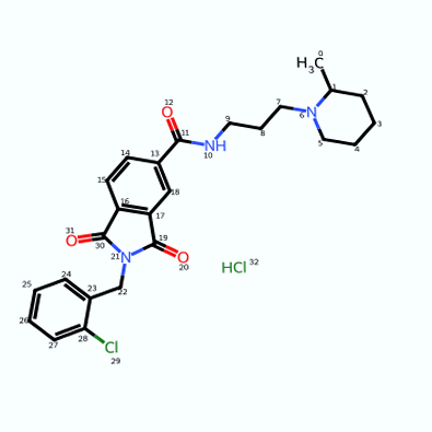 CC1CCCCN1CCCNC(=O)c1ccc2c(c1)C(=O)N(Cc1ccccc1Cl)C2=O.Cl